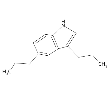 CCCc1ccc2[nH]cc(CCC)c2c1